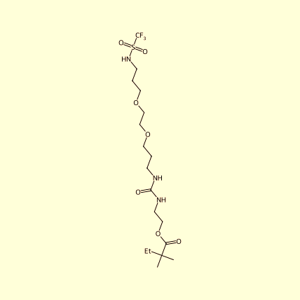 CCC(C)(C)C(=O)OCCNC(=O)NCCCOCCOCCCNS(=O)(=O)C(F)(F)F